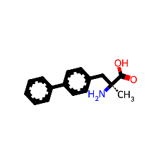 C[C@](N)(Cc1ccc(-c2ccccc2)cc1)C(=O)O